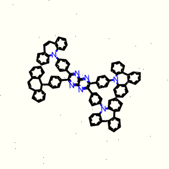 C1=Cc2ccccc2C(c2ccc(-c3nc4nc(-c5ccc(N6c7ccccc7-c7ccccc7-c7ccccc76)cc5)c(-c5ccc(N6c7ccccc7-c7ccccc7-c7ccccc76)cc5)nc4nc3-c3ccc(N4c5ccccc5C=Cc5ccccc54)cc3)cc2)c2ccccc21